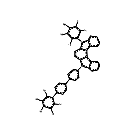 [2H]c1c([2H])c([2H])c(-c2ccc(-c3ccc(-n4c5ccccc5c5c6c7ccccc7n(-c7c([2H])c([2H])c([2H])c([2H])c7[2H])c6ccc54)cc3)cc2)c([2H])c1[2H]